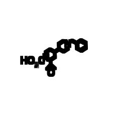 O=C(O)N1CCC(C2CCN(Cc3ccccc3)CC2)CC1C1COC1